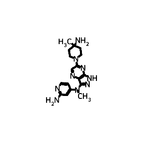 CN(c1ccnc(N)c1)c1n[nH]c2nc(N3CCC(C)(N)CC3)cnc12